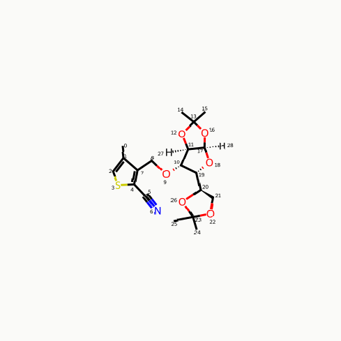 Cc1csc(C#N)c1CO[C@@H]1[C@H]2OC(C)(C)O[C@H]2O[C@@H]1[C@H]1COC(C)(C)O1